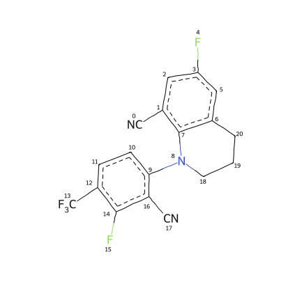 N#Cc1cc(F)cc2c1N(c1ccc(C(F)(F)F)c(F)c1C#N)CCC2